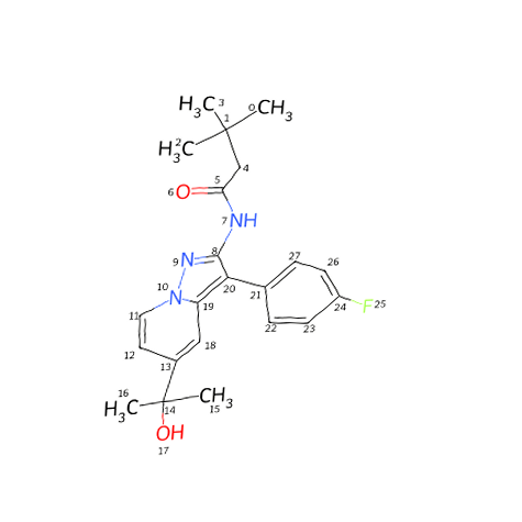 CC(C)(C)CC(=O)Nc1nn2ccc(C(C)(C)O)cc2c1-c1ccc(F)cc1